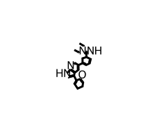 CCN(CC)C(=N)C1C=CC=C(c2cnc3[nH]cc(C4=CCCC=C4OC)c3c2)C1